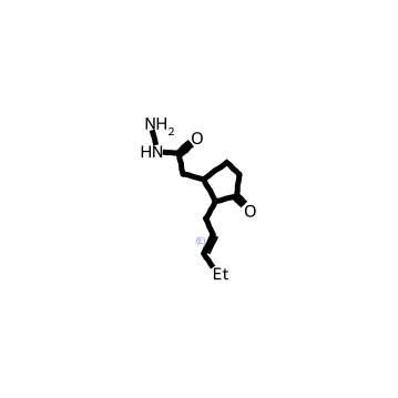 CC/C=C/CC1C(=O)CCC1CC(=O)NN